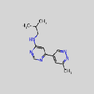 Cc1cc(-c2cc(NCC(C)C)ncn2)cnn1